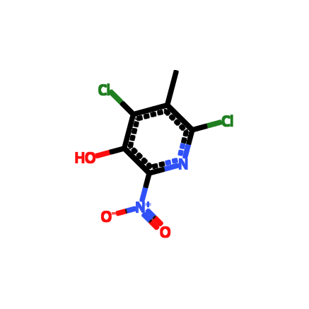 Cc1c(Cl)nc([N+](=O)[O-])c(O)c1Cl